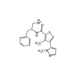 Cc1c(-c2ccnn2C)csc1C(=O)NC(CN)Cc1ccccc1